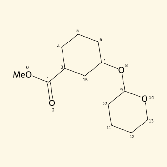 COC(=O)C1CCCC(OC2CCCCO2)C1